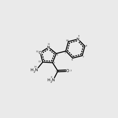 NC(=O)c1c(-c2cccnc2)noc1N